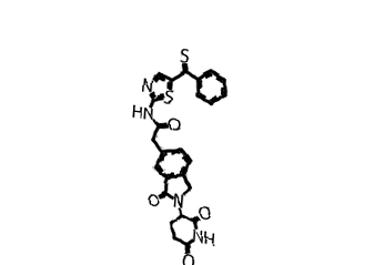 O=C1CCC(N2Cc3ccc(CC(=O)Nc4ncc(C(=S)c5ccccc5)s4)cc3C2=O)C(=O)N1